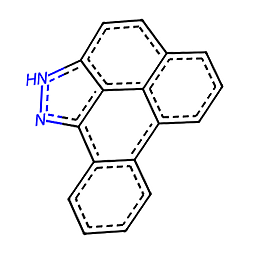 c1ccc2c(c1)c1cccc3ccc4[nH]nc2c4c31